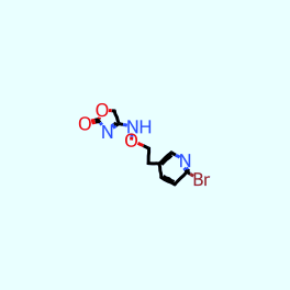 O=C1N=C(NOCCc2ccc(Br)nc2)CO1